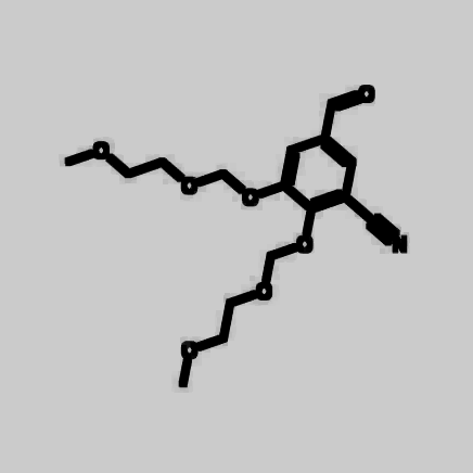 COCCOCOc1cc(C=O)cc(C#N)c1OCOCCOC